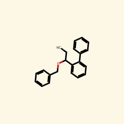 N#CCC(OCc1ccccc1)c1ccccc1-c1ccccc1